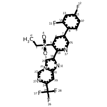 CCS(=O)(=O)c1cc(-c2ccc(F)cc2F)cnc1-c1cn2cnc(C(F)(F)F)cc2n1